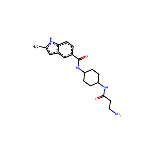 Cc1cc2cc(C(=O)NC3CCC(NC(=O)CCN)CC3)ccc2[nH]1